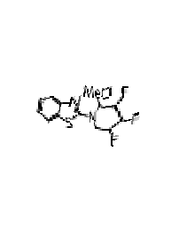 COC1C(F)C(F)C(F)CN1c1nc2ccccc2s1